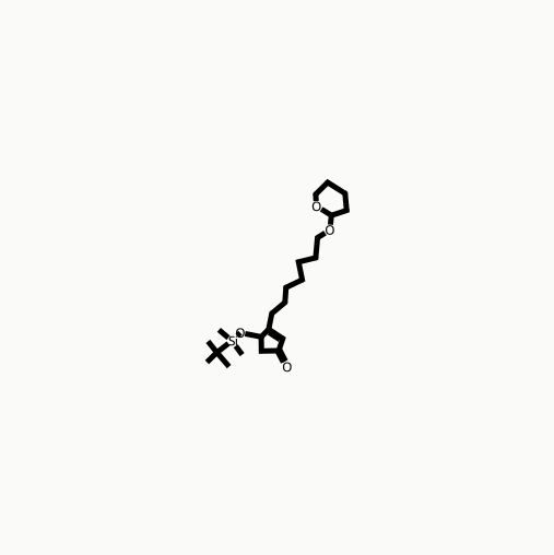 CC(C)(C)[Si](C)(C)OC1CC(=O)C=C1CCCCCCCOC1CCCCO1